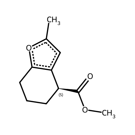 COC(=O)[C@H]1CCCc2oc(C)cc21